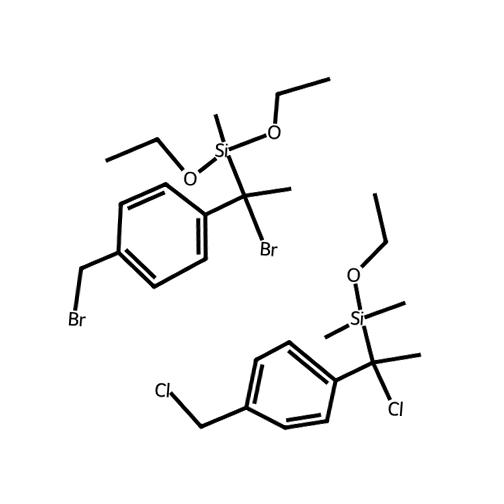 CCO[Si](C)(C)C(C)(Cl)c1ccc(CCl)cc1.CCO[Si](C)(OCC)C(C)(Br)c1ccc(CBr)cc1